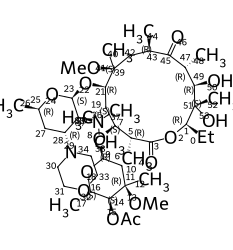 CC[C@H]1OC(=O)[C@H](C)[C@@H](O[C@H]2C[C@@](C)(OC)[C@@H](OC(C)=O)[C@H](C)O2)[C@H](C)[C@@H](O[C@@H]2O[C@H](C)C[C@@H](N3CCOCC3)[C@@H]2N(C)C)[C@@](C)(OC)C[C@@H](C)C(=O)[C@H](C)[C@@H](O)[C@]1(C)O